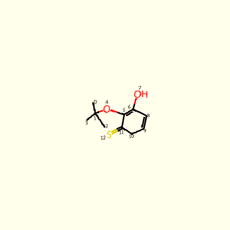 CC(C)(C)OC1=C(O)C=CCC1=S